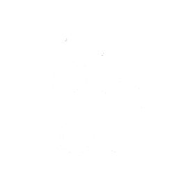 Brc1ccccc1-c1ccccc1-c1cccc(Br)c1Br